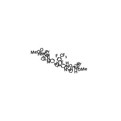 COC(=O)N[C@@H](CC(C)C)C(=O)N1CCC[C@H]1c1nc2cc([C@H]3CC[C@H](C4C=Cc5[nH]c([C@@H]6CCCN6C(=O)[C@@H](NC(=O)OC)C(C)C)nc5C4)N3c3cc(F)c(C(F)(F)F)cc3F)ccc2[nH]1